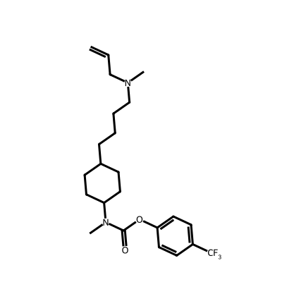 C=CCN(C)CCCCC1CCC(N(C)C(=O)Oc2ccc(C(F)(F)F)cc2)CC1